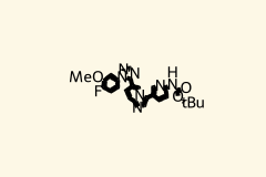 COc1cc(-n2ncnc2-c2ccc3ncc(-c4ccc(NC(=O)OC(C)(C)C)nc4)n3c2)ccc1F